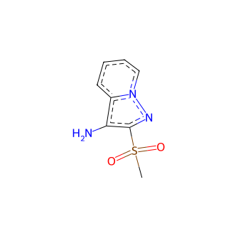 CS(=O)(=O)c1nn2ccccc2c1N